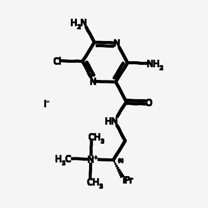 CC(C)[C@@H](CNC(=O)c1nc(Cl)c(N)nc1N)[N+](C)(C)C.[I-]